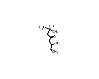 C=CC(O)CC(=O)CC(C)(C)O